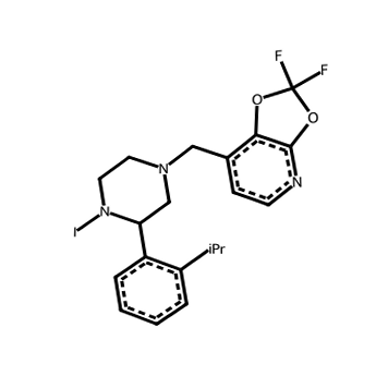 CC(C)c1ccccc1C1CN(Cc2ccnc3c2OC(F)(F)O3)CCN1I